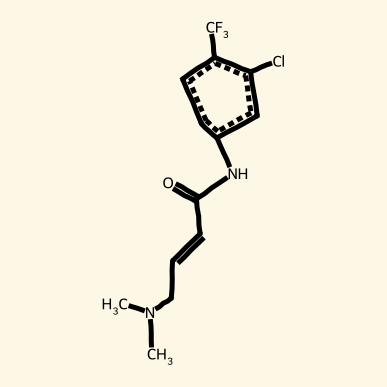 CN(C)C/C=C/C(=O)Nc1ccc(C(F)(F)F)c(Cl)c1